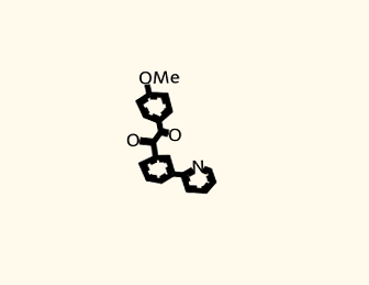 COc1ccc(C(=O)C(=O)c2cccc(-c3ccccn3)c2)cc1